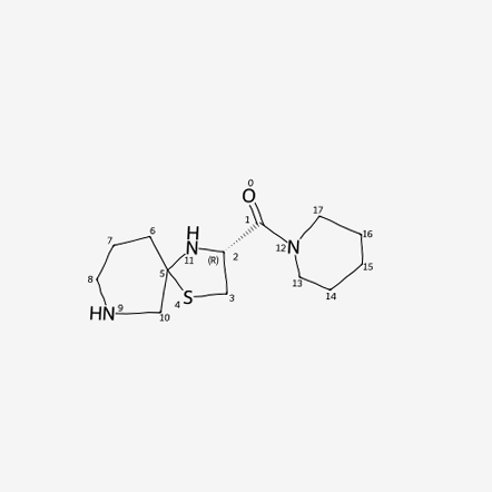 O=C([C@@H]1CSC2(CCCNC2)N1)N1CCCCC1